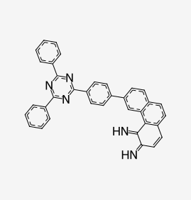 N=C1C=Cc2ccc3ccc(-c4ccc(-c5nc(-c6ccccc6)nc(-c6ccccc6)n5)cc4)cc3c2C1=N